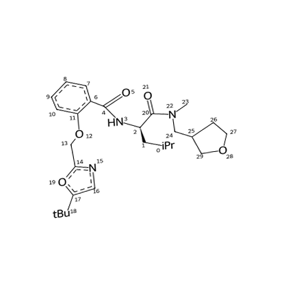 CC(C)C[C@@H](NC(=O)c1ccccc1OCc1ncc(C(C)(C)C)o1)C(=O)N(C)CC1CCOC1